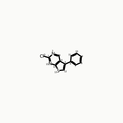 Clc1n[c]c2c(-c3ccccc3)csc2n1